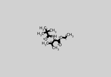 CCOC(=O)[C@@H](NC(=O)C(C)(C)C)C(C)C